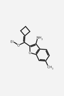 CCOC(=C1CCC1)c1oc2cc(C)ccc2c1N